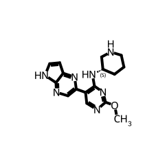 COc1ncc(-c2cnc3[nH]ccc3n2)c(N[C@H]2CCCNC2)n1